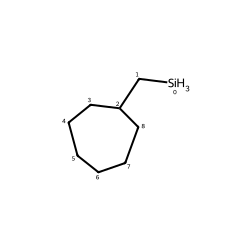 [SiH3]CC1CCCCCC1